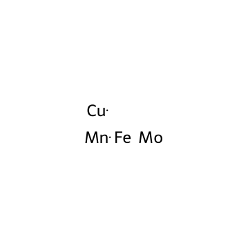 [Cu].[Fe].[Mn].[Mo]